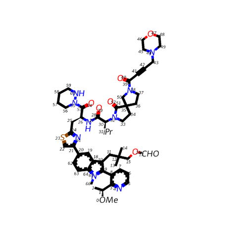 CO[C@@H](C)c1ncccc1-c1c(CC(C)(C)COC=O)c2cc(-c3csc(C[C@H](NC(=O)[C@H](C(C)C)N4CCC5(CCN(C(=O)C#CCN6CCOCC6)C5)C4=O)C(=O)N4CCCCN4)n3)ccc2n1C